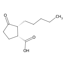 CCCCC[C@H]1C(=O)CC[C@H]1C(=O)O